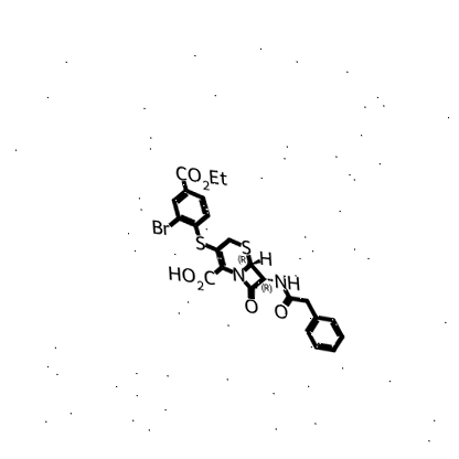 CCOC(=O)c1ccc(SC2=C(C(=O)O)N3C(=O)[C@@H](NC(=O)Cc4ccccc4)[C@H]3SC2)c(Br)c1